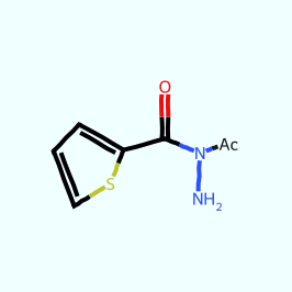 CC(=O)N(N)C(=O)c1cccs1